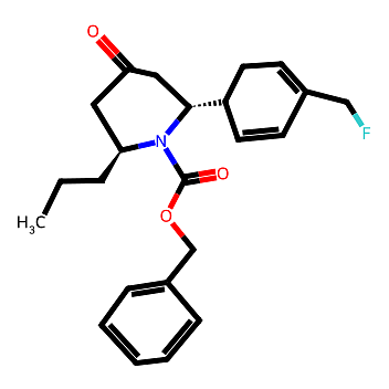 CCC[C@H]1CC(=O)C[C@H](C2C=CC(CF)=CC2)N1C(=O)OCc1ccccc1